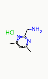 Cc1cc(C)nc(CN)n1.Cl